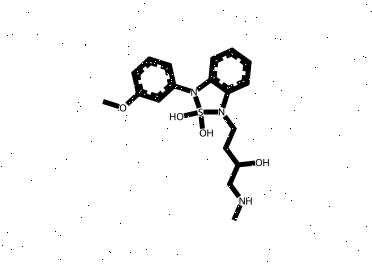 CNCC(O)CCN1c2ccccc2N(c2cccc(OC)c2)S1(O)O